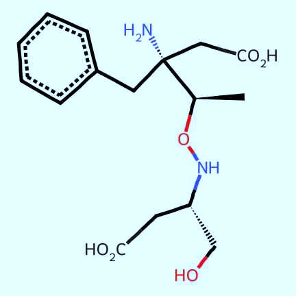 C[C@@H](ON[C@H](CO)CC(=O)O)[C@](N)(CC(=O)O)Cc1ccccc1